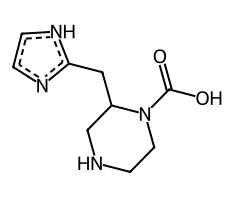 O=C(O)N1CCNCC1Cc1ncc[nH]1